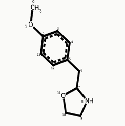 COc1ccc(CC2NCCO2)cc1